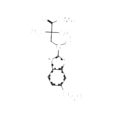 CCN(CC(C)(C)C(=O)OC)c1nc2ccc(C(=O)O)cc2s1